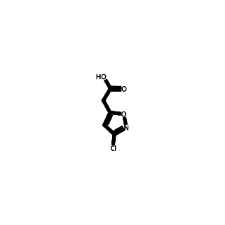 O=C(O)Cc1cc(Cl)no1